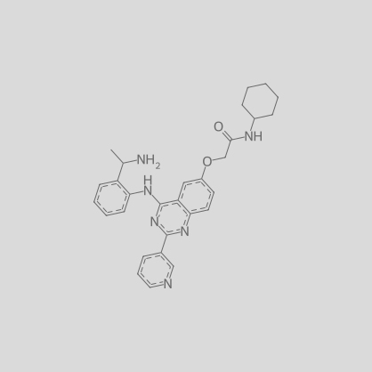 CC(N)c1ccccc1Nc1nc(-c2cccnc2)nc2ccc(OCC(=O)NC3CCCCC3)cc12